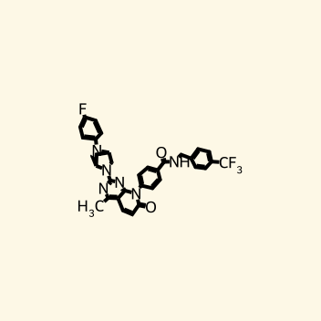 Cc1nc(N2CC3CC2CN3c2ccc(F)cc2)nc2c1ccc(=O)n2-c1ccc(C(=O)NCc2ccc(C(F)(F)F)cc2)cc1